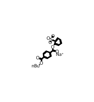 CCCCOC(=O)c1ccc(C(=O)Oc2ccccc2S(=O)(=O)[O-])cc1.[Na+]